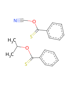 CC(C)OC(=S)c1ccccc1.N#COC(=S)c1ccccc1